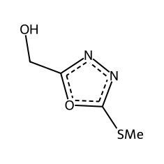 CSc1nnc(CO)o1